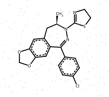 C[C@@H]1Cc2cc3c(cc2C(c2ccc(Cl)cc2)=NN1C1=NCCS1)OCO3